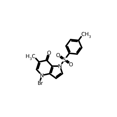 Cc1ccc(S(=O)(=O)n2ccc3c2c(=O)c(C)cn3Br)cc1